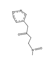 C[N+](=O)CCC(=O)Cc1cccnc1